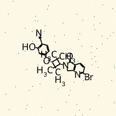 CC1(C)[C@H](Oc2ccc(C#N)c(O)c2)C(C)(C)[C@H]1N1Cc2nc(Br)ccc2C1=O